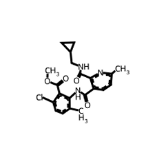 COC(=O)c1c(Cl)ccc(C)c1NC(=O)c1ccc(C)nc1C(=O)NCC1CC1